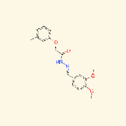 COc1ccc(C=NNC(=O)COc2cccc(C)c2)cc1OC